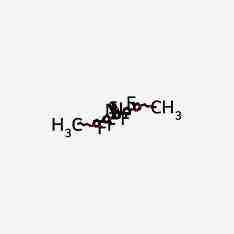 CCCCCc1ccc(-c2ccc(-c3ccc(-c4ccc(-c5ccc(CCCCC)cc5F)cc4F)c4nsnc34)c(F)c2)c(F)c1